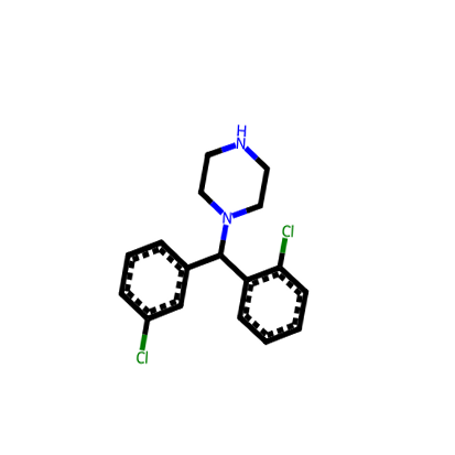 Clc1cccc(C(c2ccccc2Cl)N2CCNCC2)c1